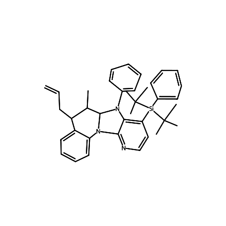 C=CCC1c2ccccc2N2c3nccc([Si](c4ccccc4)(C(C)(C)C)C(C)(C)C)c3N(c3ccccc3)C2C1C